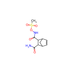 CS(=O)(=O)ONC(=O)C1C2C=CC(C2)C1C(N)=O